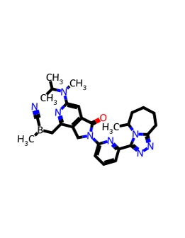 CB(C#N)Cc1nc(N(C)C(C)C)cc2c1CN(c1cccc(-c3nnc4n3C(C)CCCC4)n1)C2=O